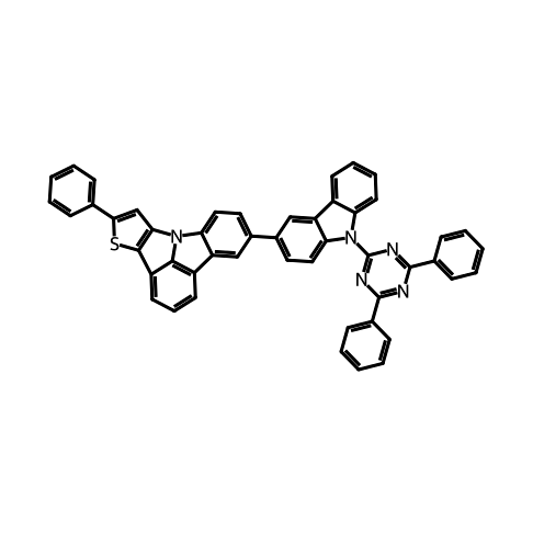 c1ccc(-c2nc(-c3ccccc3)nc(-n3c4ccccc4c4cc(-c5ccc6c(c5)c5cccc7c8sc(-c9ccccc9)cc8n6c57)ccc43)n2)cc1